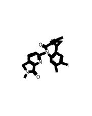 CC#CC(=O)N(c1ccc2c(n1)C(=O)N(C)C2)c1cc(C)c(I)cc1C1CC1